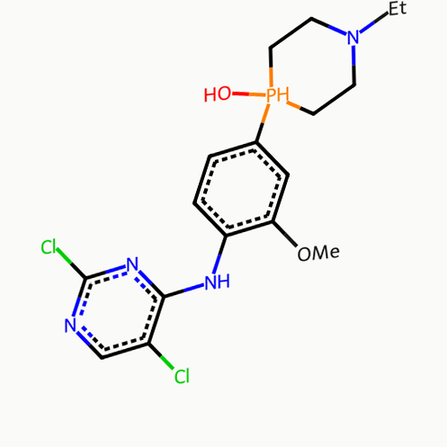 CCN1CC[PH](O)(c2ccc(Nc3nc(Cl)ncc3Cl)c(OC)c2)CC1